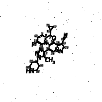 Cc1c(-c2cc(OC(c3ccc(F)cn3)C3CC3)c3c(C#N)cnn3c2)nnn1C1CCNCC1